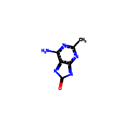 Cc1nc(N)c2c(n1)=NC(=O)N=2